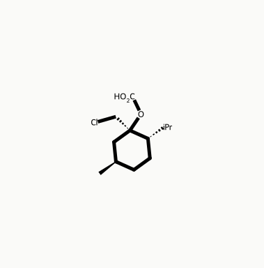 CC(C)[C@@H]1CC[C@@H](C)C[C@@]1(CCl)OC(=O)O